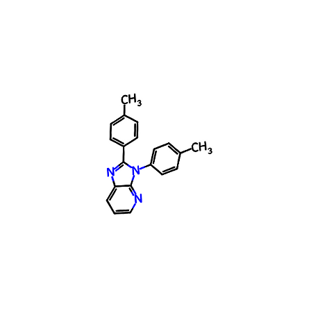 Cc1ccc(-c2nc3cccnc3n2-c2ccc(C)cc2)cc1